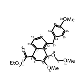 CCOC(=O)C(=O)c1cc(OC)c(OCOC)c2c(Cc3ccc(OC)cc3)cccc12